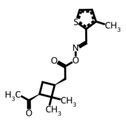 CC(=O)[C@H]1C[C@@H](CC(=O)ON=Cc2sccc2C)C1(C)C